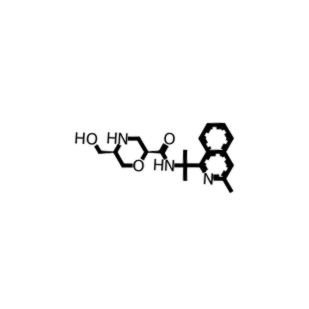 Cc1cc2ccccc2c(C(C)(C)NC(=O)[C@@H]2CN[C@H](CO)CO2)n1